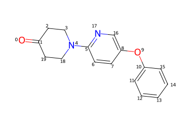 O=C1CCN(c2ccc(Oc3ccccc3)cn2)CC1